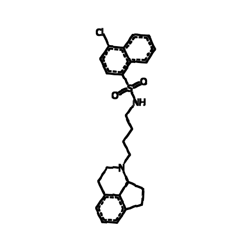 O=S(=O)(NCCCCN1CCc2cccc3c2C1CC3)c1ccc(Cl)c2ccccc12